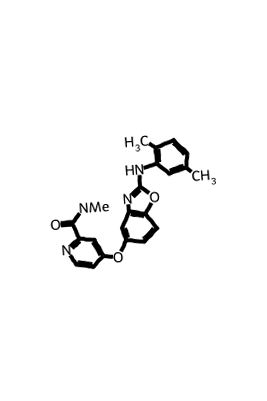 CNC(=O)c1cc(Oc2ccc3oc(Nc4cc(C)ccc4C)nc3c2)ccn1